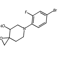 OC1CN(c2ccc(Br)cc2F)CCC12CO2